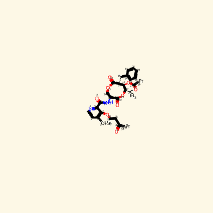 COc1ccnc(C(=O)N[C@H]2COC(=O)[C@H](Cc3ccccc3)[C@@H](OC(=O)C(C)C)[C@H](C)OC2=O)c1OCCC(=O)C(C)C